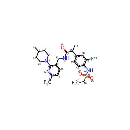 CC1CCN(c2nc(C(F)(F)F)ccc2CNC(=O)C(C)c2ccc(NS(=O)(=O)CC(F)(F)F)c(F)c2)CC1